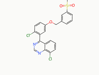 CS(=O)(=O)c1cccc(COc2ccc(Cl)c(-c3ncnc4c(Cl)cccc34)c2)c1